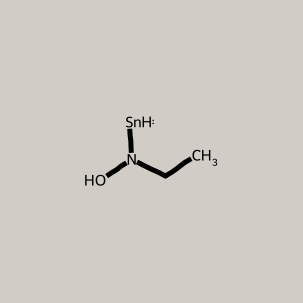 CC[N](O)[SnH]